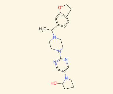 CC(c1ccc2c(c1)OCC2)N1CCN(c2ncc(N3CCCC3O)cn2)CC1